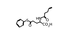 C=CCCC(=O)NC(CCC(=O)Sc1ccccc1)C(=O)O